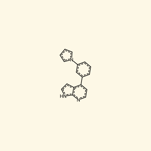 c1cc(-c2ccnc3[nH]ccc23)cc(-n2cccc2)c1